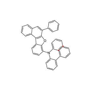 c1ccc(-c2ccccc2N(c2ccccc2)c2cccc3c2oc2c(-c4ccccc4)cc4ccccc4c23)cc1